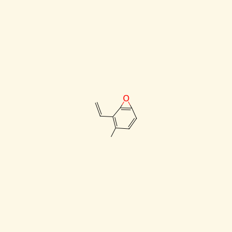 C=Cc1c(C)ccc2c1O2